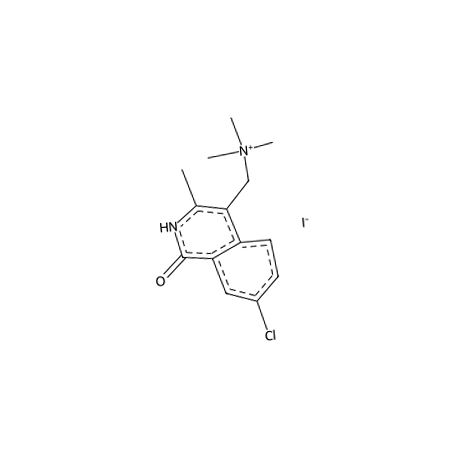 Cc1[nH]c(=O)c2cc(Cl)ccc2c1C[N+](C)(C)C.[I-]